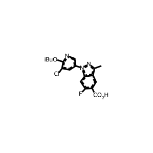 Cc1nn(-c2cnc(OCC(C)C)c(Cl)c2)c2cc(F)c(C(=O)O)cc12